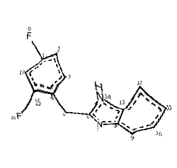 Fc1ccc(Cc2nc3ccccc3[nH]2)c(F)c1